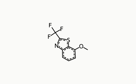 COc1cccc2nc(C(F)(F)F)sc12